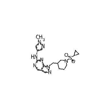 Cn1cc(Nc2ncc3cnn(CC4CCCN(S(=O)(=O)C5CC5)C4)c3n2)cn1